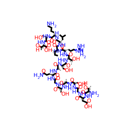 CC[C@H](C)[C@H](NC(=O)[C@H](CCCNC(=N)N)NC(=O)[C@@H](NC(=O)[C@H](CO)NC(=O)[C@H](C)NC(=O)[C@H](CCC(N)=O)NC(=O)CNC(=O)[C@H](CO)NC(=O)[C@H](C)NC(=O)[C@H](CO)NC(=O)CNC(=O)[C@H](CC(=O)O)NC(=O)[C@@H](N)[C@@H](C)O)[C@@H](C)O)C(=O)N[C@@H](CC(C)C)C(=O)N[C@@H](CCCCN)C(=O)N[C@@H](CO)C(=O)N[C@H](C(=O)O)[C@@H](C)O